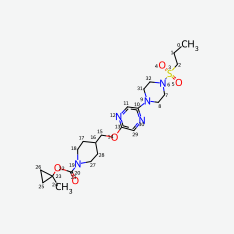 CCCS(=O)(=O)N1CCN(c2cnc(OCC3CCN(C(=O)OC4(C)CC4)CC3)cn2)CC1